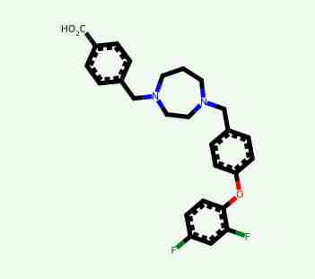 O=C(O)c1ccc(CN2CCCN(Cc3ccc(Oc4ccc(F)cc4F)cc3)CC2)cc1